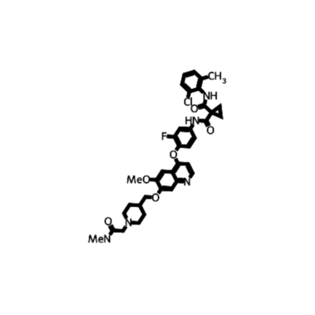 CNC(=O)CN1CCC(COc2cc3nccc(Oc4ccc(NC(=O)C5(C(=O)Nc6c(C)cccc6Cl)CC5)cc4F)c3cc2OC)CC1